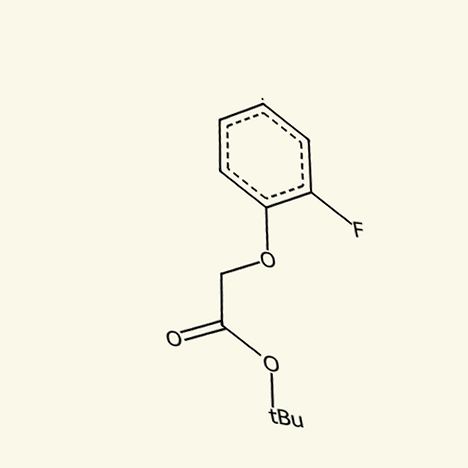 CC(C)(C)OC(=O)COc1cc[c]cc1F